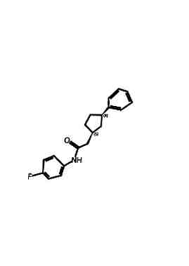 O=C(C[C@H]1CC[C@@H](c2ccccc2)C1)Nc1ccc(F)cc1